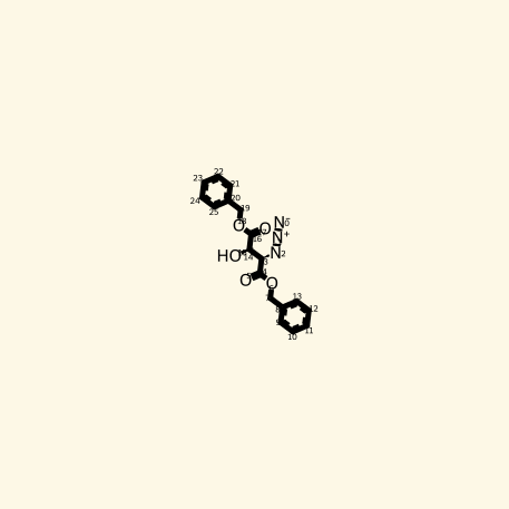 [N-]=[N+]=N[C@H](C(=O)OCc1ccccc1)[C@@H](O)C(=O)OCc1ccccc1